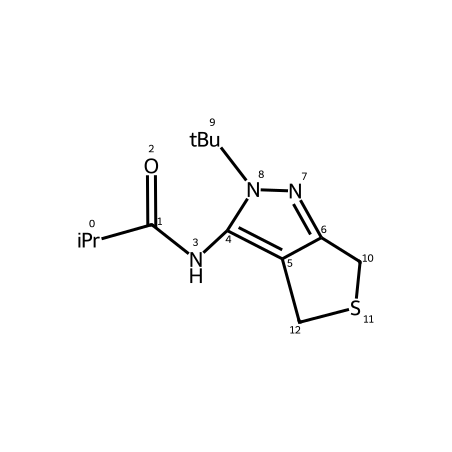 CC(C)C(=O)Nc1c2c(nn1C(C)(C)C)CSC2